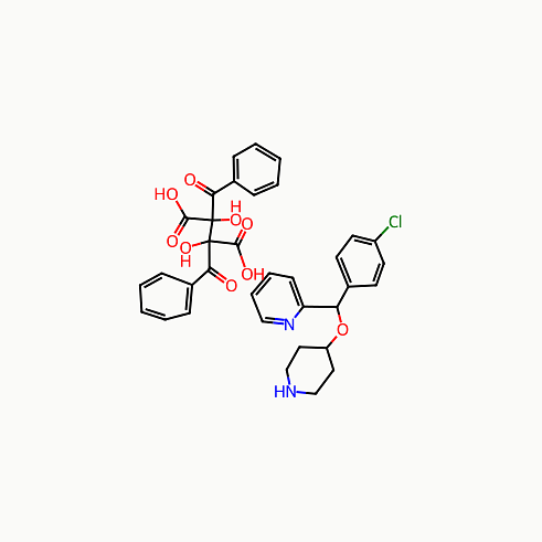 Clc1ccc(C(OC2CCNCC2)c2ccccn2)cc1.O=C(O)C(O)(C(=O)c1ccccc1)C(O)(C(=O)O)C(=O)c1ccccc1